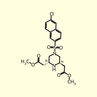 COC(=O)C[C@@H]1CN(S(=O)(=O)c2ccc3cc(Cl)ccc3c2)C[C@@H](CC(=O)OC)N1